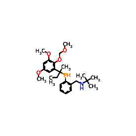 CCC(C)(Pc1ccccc1CNC(C)(C)C)c1cc(OC)cc(OC)c1OCOC